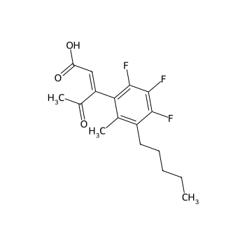 CCCCCc1c(C)c(C(=CC(=O)O)C(C)=O)c(F)c(F)c1F